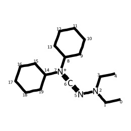 CCN(CC)N=C=[N+](C1CCCCC1)C1CCCCC1